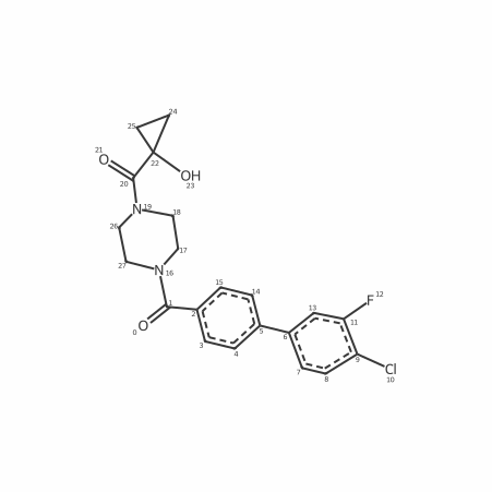 O=C(c1ccc(-c2ccc(Cl)c(F)c2)cc1)N1CCN(C(=O)C2(O)CC2)CC1